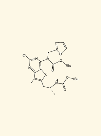 Cc1c(C[C@@H](C)NC(=O)OC(C)(C)C)sc2c(N(Cc3ccco3)C(=O)OC(C)(C)C)nc(Cl)nc12